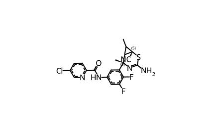 CC1C2[C@@]1(C#N)SC(N)=N[C@]2(C)c1cc(NC(=O)c2ccc(Cl)cn2)cc(F)c1F